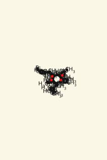 CON=C1C[C@@H](C)O[C@@H](OC2C(C)CC(C)(OC(=O)NC(C)(C)CNS(=O)(=O)c3ccc(OC(F)(F)F)cc3)C(=O)C(C)C(OC(=O)CC(C)C)C(C)C(C(C)CO[C@@H]3O[C@H](C)[C@@H](O)[C@@H](OC)[C@H]3OC)OC(=O)C(C)C(O[C@H]3CC(C)N(C)C[C@H](C)O3)C2C)[C@@H]1O